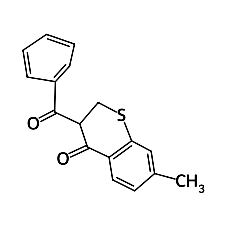 Cc1ccc2c(c1)SCC(C(=O)c1ccccc1)C2=O